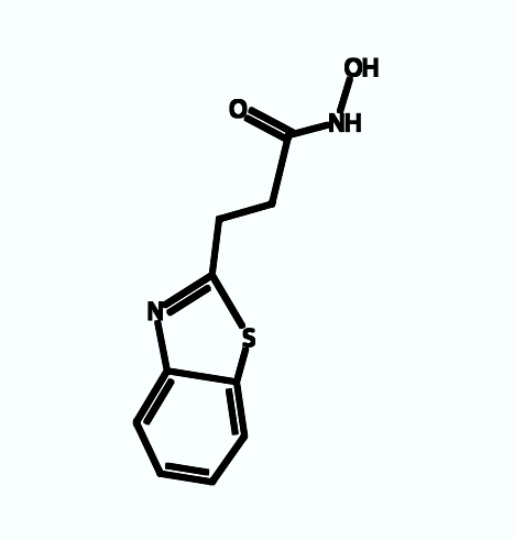 O=C(CCc1nc2ccccc2s1)NO